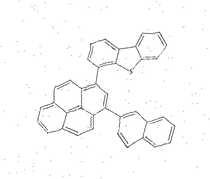 c1ccc2cc(-c3cc(-c4cccc5c4sc4ccccc45)c4ccc5cccc6ccc3c4c65)ccc2c1